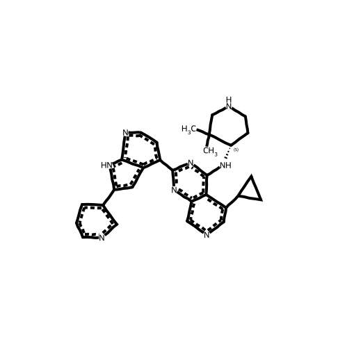 CC1(C)CNCC[C@@H]1Nc1nc(-c2ccnc3[nH]c(-c4cccnc4)cc23)nc2cncc(C3CC3)c12